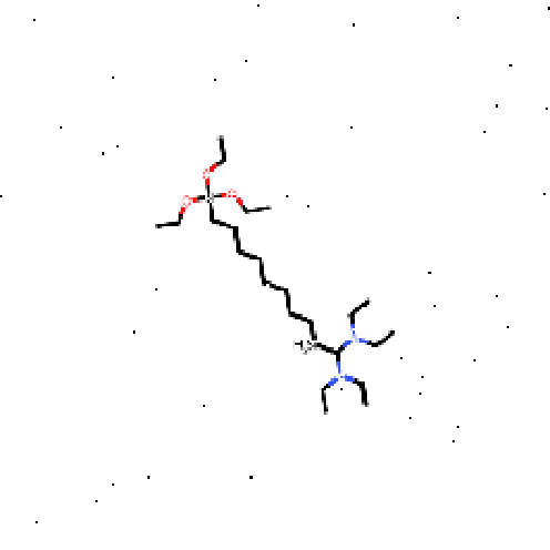 CCO[Si](CCCCCCCC[SiH2]C(N(CC)CC)N(CC)CC)(OCC)OCC